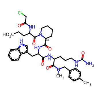 Cc1ccc(CN(C)C(=O)C(CCCNC(N)=O)NC(=O)C(Cc2c[nH]c3ccccc23)NC(=O)[C@@H]2CCCCN2C(=O)C(CCC(=O)O)NC(=O)CCl)cc1